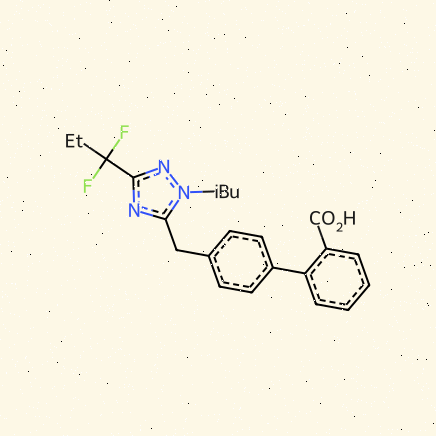 CCC(C)n1nc(C(F)(F)CC)nc1Cc1ccc(-c2ccccc2C(=O)O)cc1